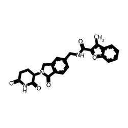 Cc1c(C(=O)NCc2ccc3c(c2)CN(C2CCC(=O)NC2=O)C3=O)oc2ccccc12